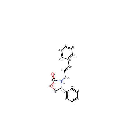 O=C1OC[C@@H](c2ccccc2)N1CC=Cc1ccccc1